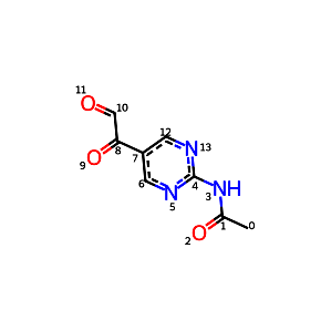 CC(=O)Nc1ncc(C(=O)C=O)cn1